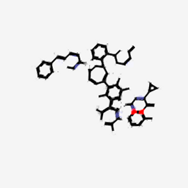 C=C/C=C\CC(C)c1cccc2c1C1C=C(c3c(C)c(C)c4c(c3C)c(=C(C)C)/c(=C(/O)C(=C)C)n4C(/C=C(\C(=C)c3ccccc3C)C3CC3)=C/C)C=CC(C1)N2C(/C=C\C=C\c1ccccc1)=C/C